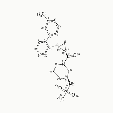 Cc1cccc(-c2ccccc2[C@@H]2C[C@H]2C(=O)N2CCC[C@H](NS(C)(=O)=O)C2)c1